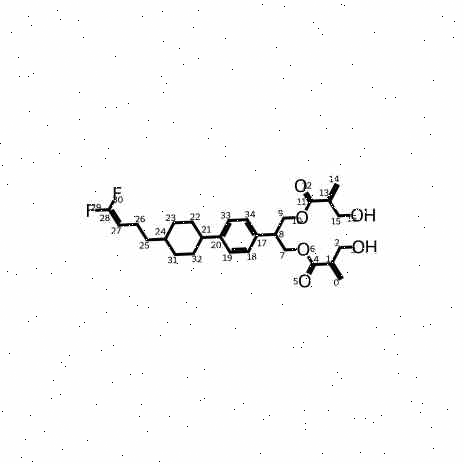 C=C(CO)C(=O)OCC(COC(=O)C(=C)CO)c1ccc(C2CCC(CCC=C(F)F)CC2)cc1